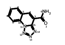 NC(=O)c1cc2ccccc2n2nnnc12